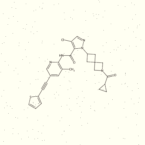 Cc1cc(C#Cc2cccs2)cnc1NC(=O)c1c(Cl)cnn1C1CC2(C1)CN(C(=O)C1CC1)C2